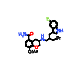 COc1ccc(C(N)=O)c2c1OC[C@H](NCC(Cc1c[nH]c3ccc(F)cc13)CC(C)C)C2